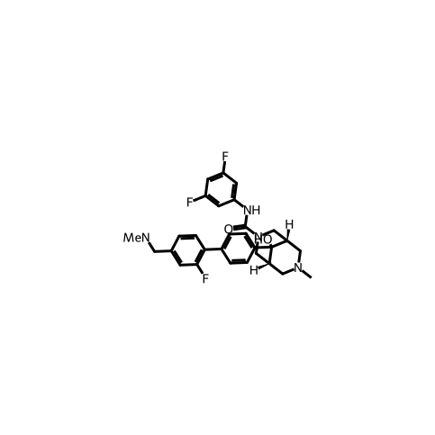 CNCc1ccc(-c2ccc(C3(O)[C@@H]4CN(C)C[C@H]3CN(C(=O)Nc3cc(F)cc(F)c3)C4)cc2)c(F)c1